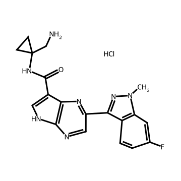 Cl.Cn1nc(-c2cnc3[nH]cc(C(=O)NC4(CN)CC4)c3n2)c2ccc(F)cc21